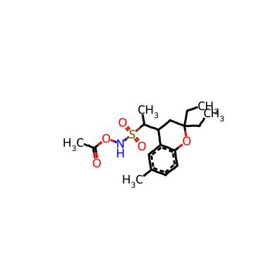 CCC1(CC)CC(C(C)S(=O)(=O)NOC(C)=O)c2cc(C)ccc2O1